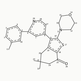 Cc1cccc(-c2cc(-c3c(N4CCOCC4)sc4c3CC(C)(C)CC4=O)ccn2)c1